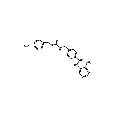 COc1ccc(COC(=O)NCc2ccc(C(=O)Nc3cccnc3N)cc2)cc1